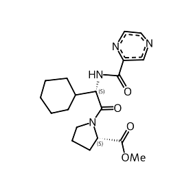 COC(=O)[C@@H]1CCCN1C(=O)[C@@H](NC(=O)c1cnccn1)C1CCCCC1